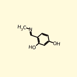 C/N=C/c1ccc(O)cc1O